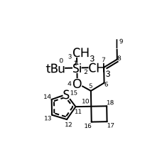 CC(C)(C)[Si](C)(C)OC(CC=CI)C1(c2cccs2)CCC1